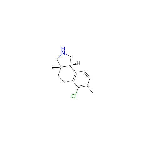 Cc1ccc2c(c1Cl)CC[C@]1(C)CNC[C@H]21